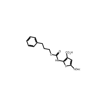 CCCCCCCCCCc1cc(C(=O)O)c(NC(=O)OCCCc2ccccc2)s1